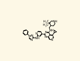 CC1(C)CNCCC1CNc1nc(-c2ccnc(Nc3ncn(-c4ccccc4)n3)c2)nc2cncc(C3CC3)c12